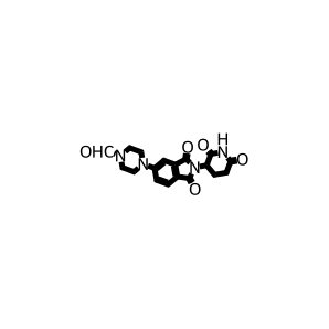 O=CN1CCN(c2ccc3c(c2)C(=O)N(C2CCC(=O)NC2=O)C3=O)CC1